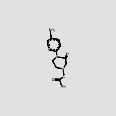 CC(C)(C)C(=O)ON1CCN(c2ccc(N)cn2)C(=O)C1